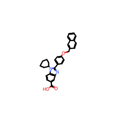 O=C(O)c1ccc2c(c1)nc(-c1ccc(OCc3ccc4ccccc4c3)cc1)n2C1CCCCC1